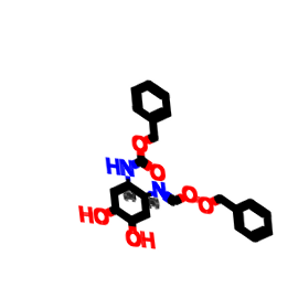 O=C(N[C@H]1CC(O)C(O)C[C@H]1N=COOCc1ccccc1)OCc1ccccc1